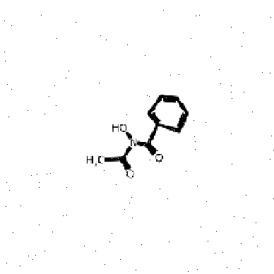 CC(=O)N(O)C(=O)c1ccccc1